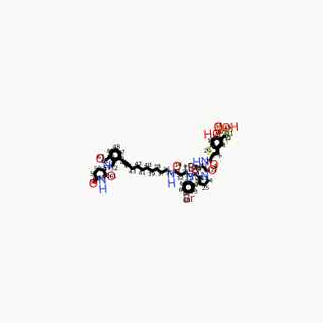 CC(C)(C)[C@H](NC(=O)c1cc2cc(C(F)(F)P(=O)(O)O)ccc2s1)C(=O)N1CCC[C@H]1C(=O)N(CCC(=O)NCCCCCCCCC#Cc1cccc2c1CN(C1CCC(=O)NC1=O)C2=O)c1ccc(Br)cc1